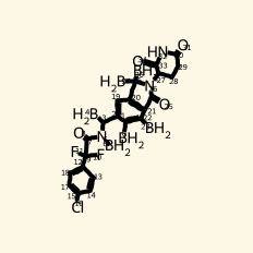 Bc1c(C(B)N(B)C(=O)C(F)(F)c2ccc(Cl)cc2)cc2c(c1B)C(=O)N(C1CCC(=O)NC1=O)C2(B)B